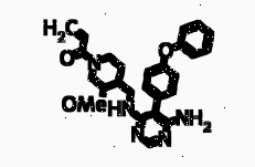 C=CC(=O)N1CCC(CNc2ncnc(N)c2-c2ccc(Oc3ccccc3)cc2)C(OC)C1